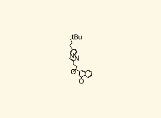 CC(C)(C)CCCc1ccc2nc(CCC(=O)C3=CC(=O)C4C=CC=CC4=C3)cn2c1